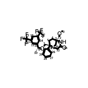 COC[C@]12CC[C@@](CO[C@H](C)c3cc(C(F)(F)F)cc(C(F)(F)F)c3)(c3ccccc3)N(CC(=O)N1)C2